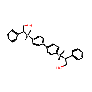 C[Si](C)(c1ccc(-c2ccc([Si](C)(C)C(CO)c3ccccc3)cc2)cc1)C(CO)c1ccccc1